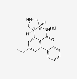 CCc1cc(-c2ccccc2)c2c(c1)[C@H]1CNC[C@@H]1NC2=O.Cl